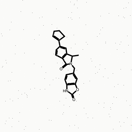 CC1c2cc(C3=CCCC3)ccc2C(=O)N1Cc1ccc2[nH]c(=O)oc2c1